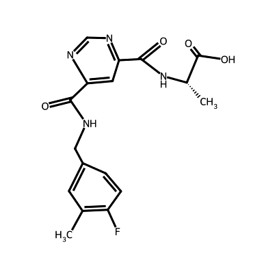 Cc1cc(CNC(=O)c2cc(C(=O)N[C@@H](C)C(=O)O)ncn2)ccc1F